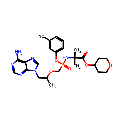 CC(Cn1cnc2c(N)ncnc21)OCP(=O)(NC(C)(C)C(=O)OC1CCOCC1)Oc1cccc(C#N)c1